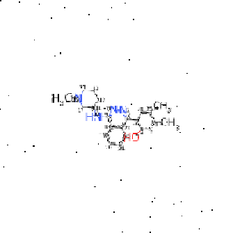 Cc1cc(O)c(-c2nnc(N[C@@H]3CCCN(C)C3)c3ccccc23)cc1C